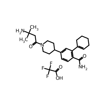 CC(C)(N)CC(=O)N1CCC(c2ccc(C(N)=O)c(C3=CCCCC3)c2)CC1.O=C(O)C(F)(F)F